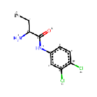 CC(C)CC(N)C(=O)Nc1ccc(Cl)c(Cl)c1